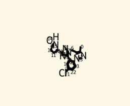 Cc1ncn2c1Cn1nc([C@H]3CCC(=O)N3)nc1-c1cc(Cl)ccc1-2